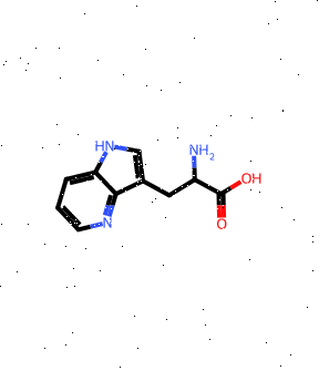 NC(Cc1c[nH]c2cccnc12)C(=O)O